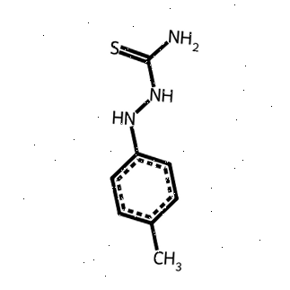 Cc1ccc(NNC(N)=S)cc1